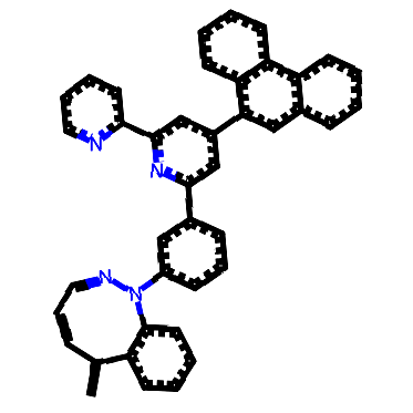 C=C1/C=C\C=N/N(c2cccc(-c3cc(-c4cc5ccccc5c5ccccc45)cc(-c4ccccn4)n3)c2)c2ccccc21